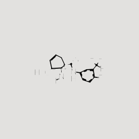 C[C@H]1C=CC[C@@H](C(=O)Nc2ccc(F)c(C(F)(F)F)c2)[C@H]1NI